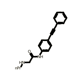 CCCNCC(=O)Nc1ccc(C#Cc2ccccc2)cc1